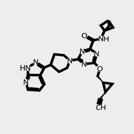 C#C[C@@H]1C[C@@H]1COc1nc(C(=O)NC23CC(C2)C3)nc(N2CCC(c3n[nH]c4ncccc34)CC2)n1